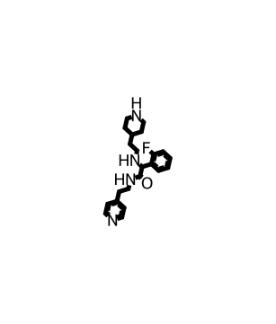 O=C(NCCc1ccncc1)C(NCCC1CCNCC1)c1ccccc1F